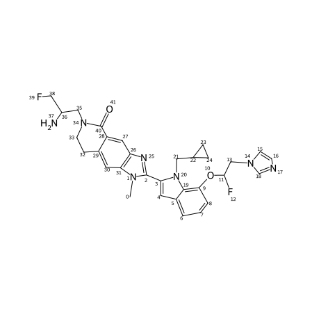 Cn1c(-c2cc3cccc(OC(F)Cn4ccnc4)c3n2CC2CC2)nc2cc3c(cc21)CCN(CC(N)CF)C3=O